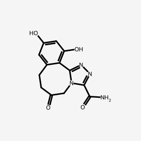 NC(=O)c1nnc2n1CC(=O)CCc1cc(O)cc(O)c1-2